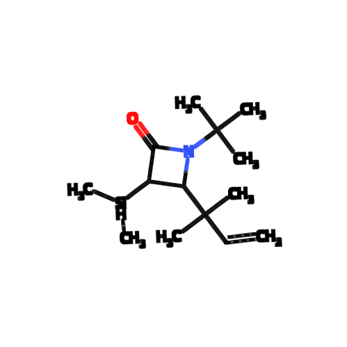 C=CC(C)(C)C1C([SiH](C)C)C(=O)N1C(C)(C)C